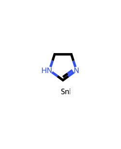 C1=NCCN1.[Sn]